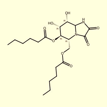 CCCCCC(=O)OC[C@@H]1[C@@H](OC(=O)CCCCC)[C@H](O)[C@H](O)C2NC(=O)C(=O)N21